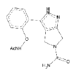 CC(=O)NOc1ccccc1-c1[nH]nc2c1CN(C(N)=O)C2